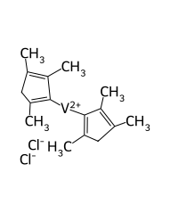 CC1=C(C)[C]([V+2][C]2=C(C)CC(C)=C2C)=C(C)C1.[Cl-].[Cl-]